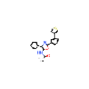 O=C(Nc1oc(-c2cccc(-c3ccsc3)c2)nc1-c1ccccc1)C(F)(F)F